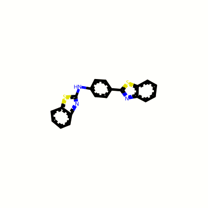 c1ccc2sc(Nc3ccc(-c4nc5ccccc5s4)cc3)nc2c1